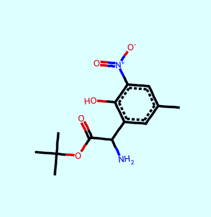 Cc1cc(C(N)C(=O)OC(C)(C)C)c(O)c([N+](=O)[O-])c1